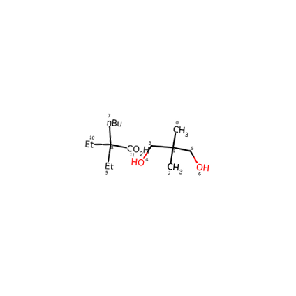 CC(C)(CO)CO.CCCCC(CC)(CC)C(=O)O